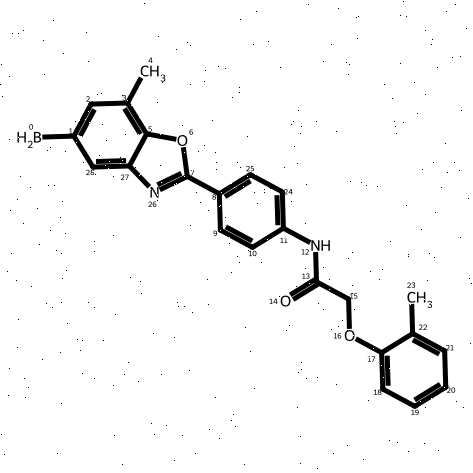 Bc1cc(C)c2oc(-c3ccc(NC(=O)COc4ccccc4C)cc3)nc2c1